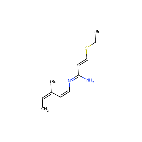 C\C=C(/C=C\N=C(N)\C=C\SCC(C)(C)C)C(C)(C)C